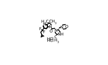 C[C@@H]1CN(CC(=O)N2CC(C)(C)c3ncc(C(F)(F)CC4CC4)cc32)[C@@H](CN2CCOCC2)CN1.Cl.Cl